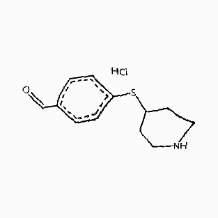 Cl.O=Cc1ccc(SC2CCNCC2)cc1